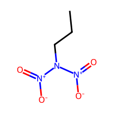 CCCN([N+](=O)[O-])[N+](=O)[O-]